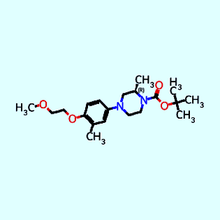 COCCOc1ccc(N2CCN(C(=O)OC(C)(C)C)[C@H](C)C2)cc1C